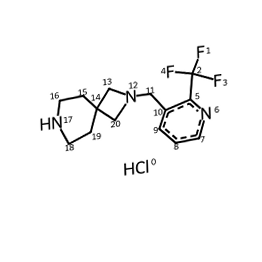 Cl.FC(F)(F)c1ncccc1CN1CC2(CCNCC2)C1